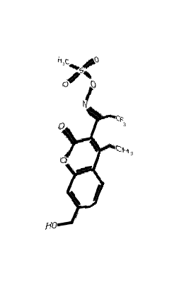 Cc1c(/C(=N/OS(C)(=O)=O)C(F)(F)F)c(=O)oc2cc(CO)ccc12